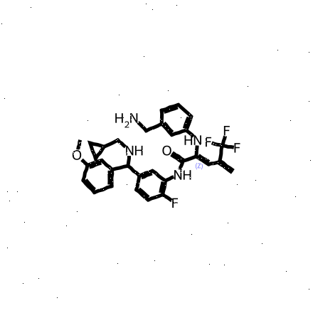 C=C(/C=C(\Nc1cccc(CN)c1)C(=O)Nc1cc(C(NCC2CC2)c2cccc(OC)c2)ccc1F)C(F)(F)F